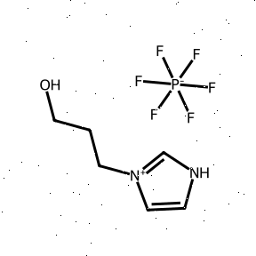 F[P-](F)(F)(F)(F)F.OCCC[n+]1cc[nH]c1